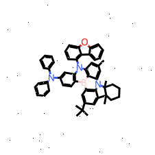 Cc1cc2c3c(c1)N1c4c(cc(C(C)(C)C)cc4C4(C)CCCCC14C)B3c1ccc(N(c3ccccc3)c3ccccc3)cc1N2c1cccc2oc3ccccc3c12